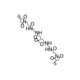 CSC1CC(=O)N(CCC(=O)NCCNC(=O)CC(CC(=O)NCCNC(=O)CCN2C(=O)CC(SC)C2=O)C(C)=O)C1=O